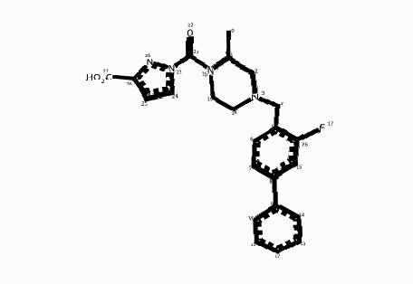 CC1CN(Cc2ccc(-c3ccccc3)cc2F)CCN1C(=O)n1ccc(C(=O)O)n1